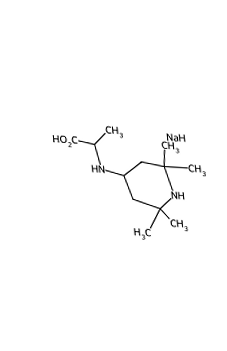 CC(NC1CC(C)(C)NC(C)(C)C1)C(=O)O.[NaH]